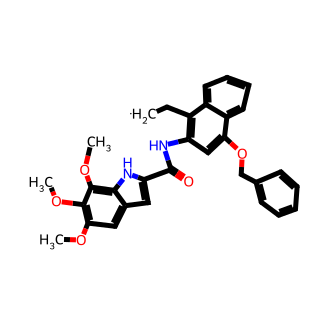 [CH2]Cc1c(NC(=O)c2cc3cc(OC)c(OC)c(OC)c3[nH]2)cc(OCc2ccccc2)c2ccccc12